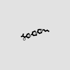 CCCCN1CCC(N2CCC(N3CCC(C(=O)C(C)C)CC3)CC2)CC1